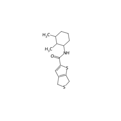 CC1CCCC(NC(=O)c2cc3c(s2)CSC3)C1C